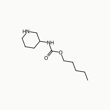 CCCCCOC(=O)NC1CCCNC1